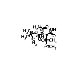 CSC(C)(C)[C@@H](C(=O)O)N(C(N)=O)C(=O)OC(C)(C)C